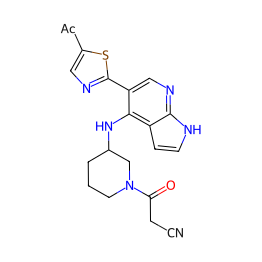 CC(=O)c1cnc(-c2cnc3[nH]ccc3c2NC2CCCN(C(=O)CC#N)C2)s1